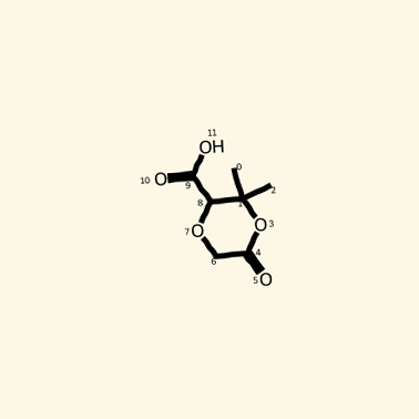 CC1(C)OC(=O)COC1C(=O)O